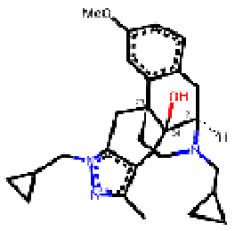 COc1ccc2c(c1)[C@]13CCN(CC4CC4)[C@H](C2)[C@]1(O)Cc1c(C)nn(CC2CC2)c1C3